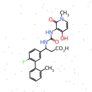 Cc1ccccc1-c1cc(C(CC(=O)O)NC(=O)Nc2c(O)ccn(C)c2=O)ccc1F